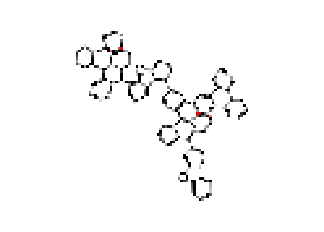 c1ccc(-c2ccccc2-c2c3ccccc3c(-c3cccc4c3oc3cccc(-c5ccc(-c6c7ccccc7c(-c7ccc8c(c7)oc7ccccc78)c7ccccc67)c(-c6ccc7c8ccccc8c8ccccc8c7c6)c5)c34)c3ccccc23)cc1